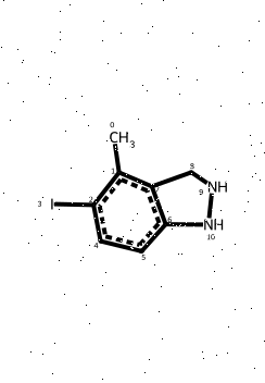 Cc1c(I)ccc2c1CNN2